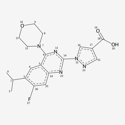 CC(C)c1cc2c(N3CCOCC3)nc(-n3cc(C(=O)O)cn3)nc2cc1F